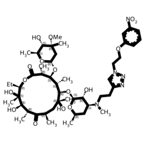 CC[C@H]1OC(=O)[C@H](C)[C@@H](O[C@H]2C[C@@](C)(OC)[C@@H](O)[C@H](C)O2)[C@H](C)[C@@H](O[C@@H]2O[C@H](C)C[C@H](N(C)CCc3cn(CCOc4cccc([N+](=O)[O-])c4)nn3)[C@H]2O)[C@](C)(O)C[C@@H](C)C(=O)[C@H](C)[C@@H](O)[C@]1(C)O